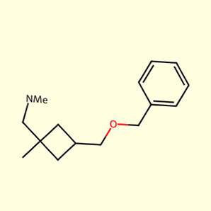 CNCC1(C)CC(COCc2ccccc2)C1